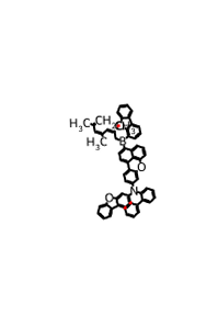 C=C(C)/C=C(C)\C=C(\C)CB(c1ccc2c3c(cccc13)Oc1cc(N(c3ccc4c(c3)oc3ccccc34)c3ccccc3-c3ccccc3)ccc1-2)c1cccc2c1oc1ccccc12